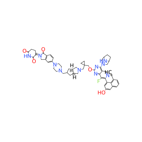 C#Cc1cccc2cc(O)cc(-c3ncc4c(N5CC6CCC(C5)N6)nc(OCC5(CN6C[C@H]7CC(CN8CCN(c9ccc%10c(c9)CN([C@H]9CCC(=O)NC9=O)C%10=O)CC8)C[C@H]7C6)CC5)nc4c3F)c12